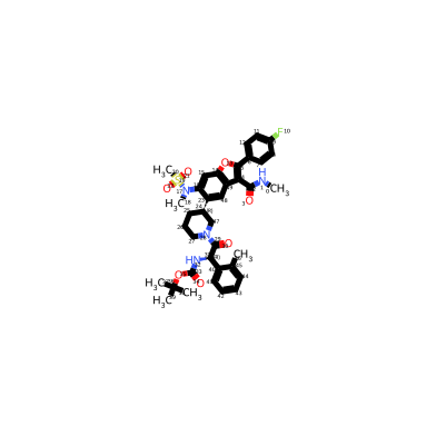 CNC(=O)c1c(-c2ccc(F)cc2)oc2cc(N(C)S(C)(=O)=O)c([C@H]3CCCN(C(=O)[C@H](NC(=O)OC(C)(C)C)c4ccccc4C)C3)cc12